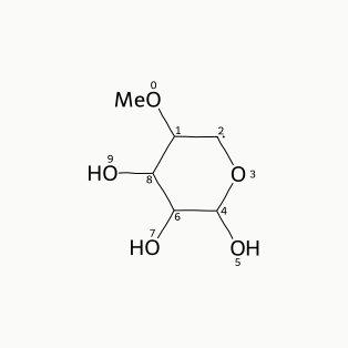 COC1[CH]OC(O)C(O)C1O